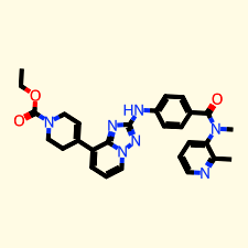 CCOC(=O)N1CC=C(c2cccn3nc(Nc4ccc(C(=O)N(C)c5cccnc5C)cc4)nc23)CC1